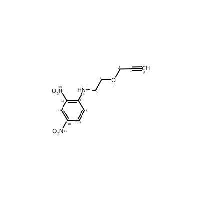 C#CCOCCNc1ccc([N+](=O)[O-])cc1[N+](=O)[O-]